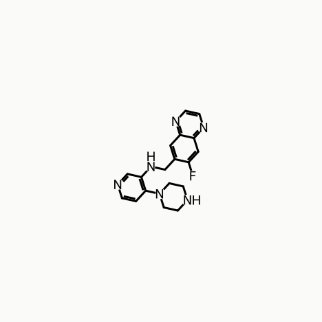 Fc1cc2nccnc2cc1CNc1cnccc1N1CCNCC1